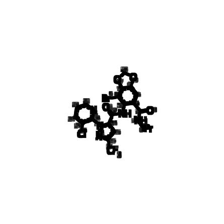 CC(C)NC(=O)c1cc2c(c(Br)c1NC(=O)c1cc(C(F)(F)F)nn1-c1ncccc1Cl)OCO2